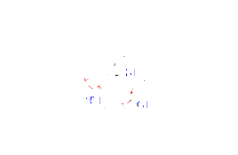 CCCC(N)(COC(N)=O)COC(N)=O